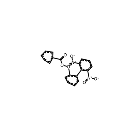 O=C(OOc1ccccc1-c1c([N+](=O)[O-])cccc1[N+](=O)[O-])c1ccccc1